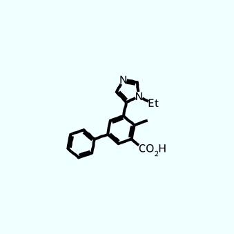 CCn1cncc1-c1cc(-c2ccccc2)cc(C(=O)O)c1C